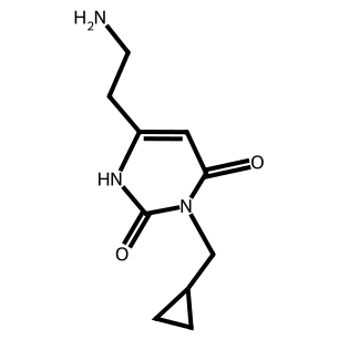 NCCc1cc(=O)n(CC2CC2)c(=O)[nH]1